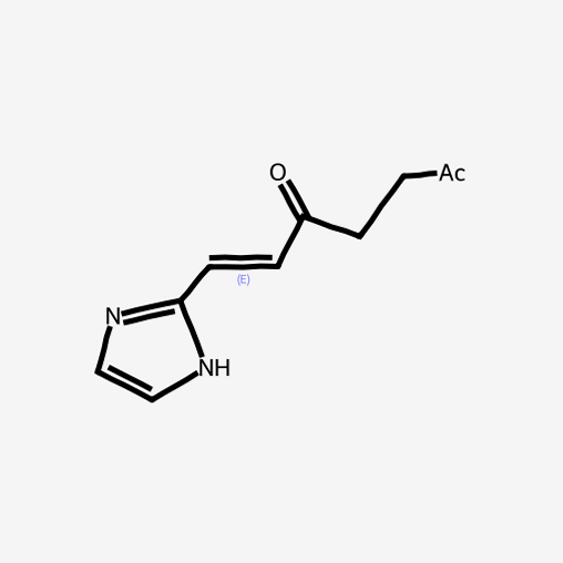 CC(=O)CCC(=O)/C=C/c1ncc[nH]1